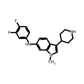 Cn1cc(C2CCNCC2)c2ccc(Nc3ccc(F)c(F)c3)cc21